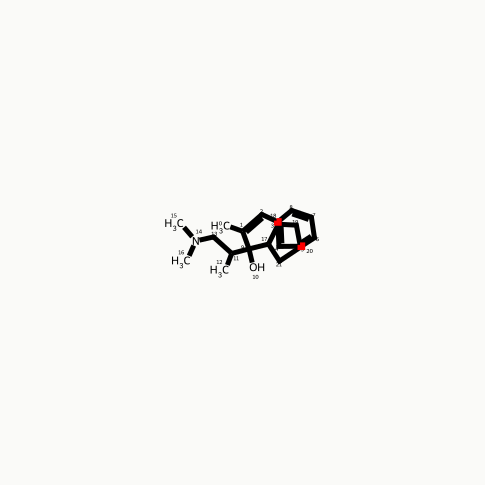 C/C(=C/c1ccccc1)C(O)(C(C)CN(C)C)C1CCCC1